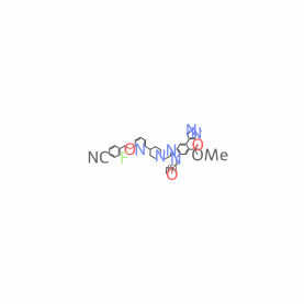 COC(=O)c1cc2c(cc1-c1cnn(C)c1)nc(CN1CCC(c3cccc(OCc4ccc(C#N)cc4F)n3)CC1)n2C[C@@H]1CCO1